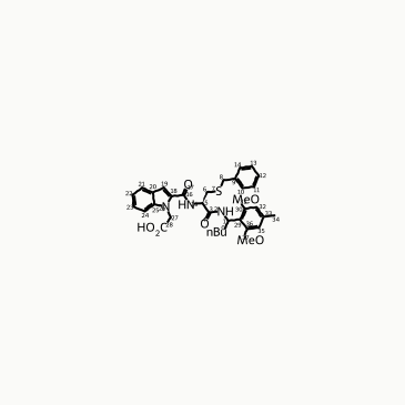 CCCCC(NC(=O)[C@H](CSCc1ccccc1)NC(=O)c1cc2ccccc2n1CC(=O)O)c1c(OC)cc(C)cc1OC